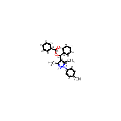 Cc1nn(-c2ccc(C#N)cc2)c(C)c1C(OC(=O)c1ccccc1)c1ccccc1